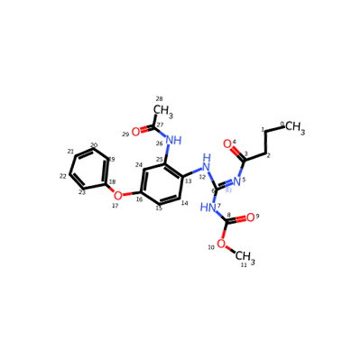 CCCC(=O)/N=C(/NC(=O)OC)Nc1ccc(Oc2ccccc2)cc1NC(C)=O